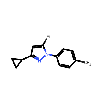 CCc1cc(C2CC2)nn1-c1ccc(C(F)(F)F)cc1